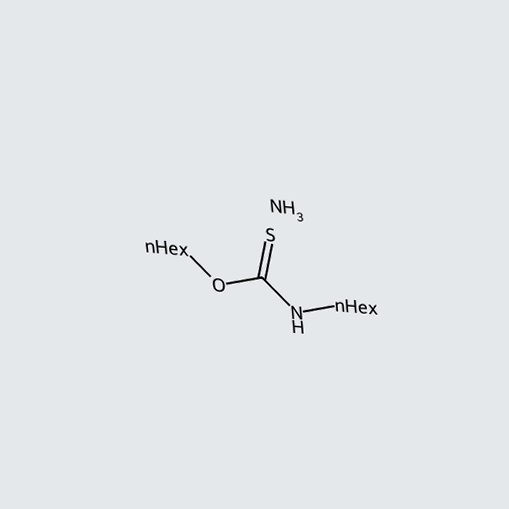 CCCCCCNC(=S)OCCCCCC.N